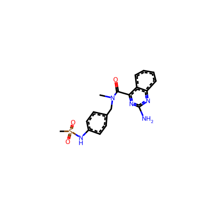 CN(Cc1ccc(NS(C)(=O)=O)cc1)C(=O)c1nc(N)nc2ccccc12